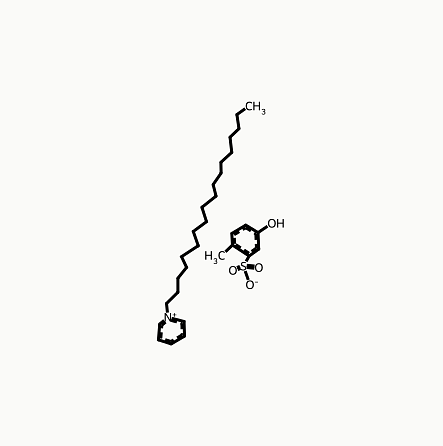 CCCCCCCCCCCCCCCCCC[n+]1ccccc1.Cc1ccc(O)cc1S(=O)(=O)[O-]